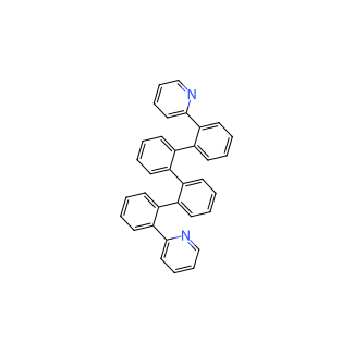 c1ccc(-c2ccccc2-c2ccccc2-c2ccccc2-c2ccccc2-c2ccccn2)nc1